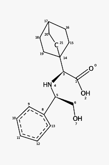 O=C(O)[C@@H](N[C@@H](CO)c1ccccc1)C12CCC(CC1)CC2